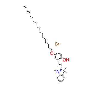 C=C/C=C/CCCCCCCCCCCCCCOc1ccc(O)c(/C=C/C2=[N+](C)c3ccccc3C2(C)C)c1.[Br-]